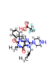 CC#CCn1c(N2CCNCC2)nc2c1c(=O)n(C)c(=O)n2C1(CC)C=CC=CC1.O=C(O)C(F)(F)F